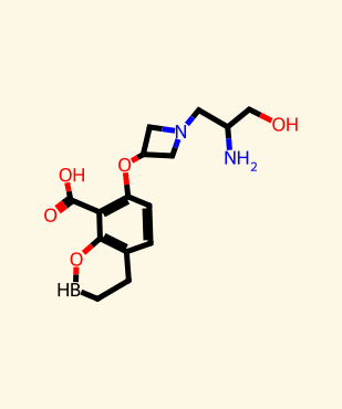 NC(CO)CN1CC(Oc2ccc3c(c2C(=O)O)OBCC3)C1